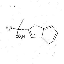 CC(N)(C(=O)O)c1cc2ccccc2s1